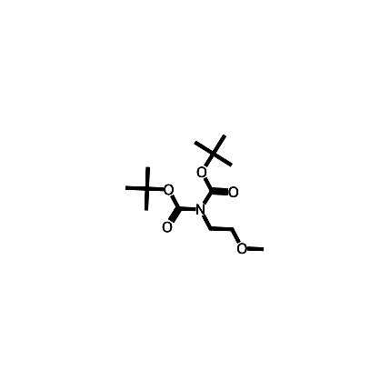 COCCN(C(=O)OC(C)(C)C)C(=O)OC(C)(C)C